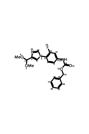 COC(OC)c1cn(-c2ccc(NC(=O)OCc3ccccc3)cc2F)cn1